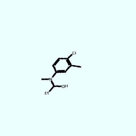 CCC(O)N(C)c1ccc(Cl)c(C)c1